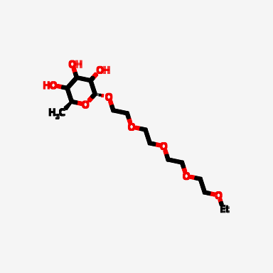 CCOCCOCCOCCOCCO[C@@H]1O[C@@H](C)C(O)C(O)C1O